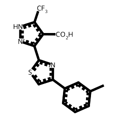 Cc1cccc(-c2csc(-c3n[nH]c(C(F)(F)F)c3C(=O)O)n2)c1